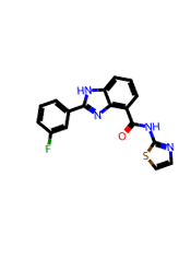 O=C(Nc1nccs1)c1cccc2[nH]c(-c3cccc(F)c3)nc12